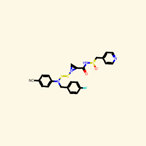 N#Cc1ccc(N(Cc2ccc(F)cc2)SSN2C=C2C(=O)N[S+]([O-])Cc2ccncc2)cc1